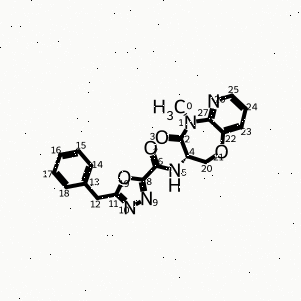 CN1C(=O)[C@@H](NC(=O)c2nnc(Cc3ccccc3)o2)COc2cccnc21